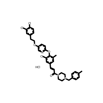 Cc1ccc(CN2CCN(C(=O)C=Cc3cc(C)c(Oc4ccc(OCCc5ccc(Cl)c(Cl)c5)cn4)c(Cl)c3)CC2)cc1.Cl